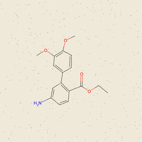 CCOC(=O)c1ccc(N)cc1-c1ccc(OC)c(OC)c1